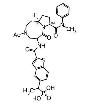 CC(=O)N1CC[C@H]2CC[C@@H](C(=O)N(C)c3ccccc3)N2C(=O)C(NC(=O)c2cc3cc(C(C)P(=O)(O)O)ccc3s2)C1